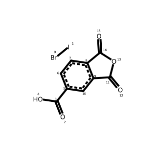 BrI.O=C(O)c1ccc2c(c1)C(=O)OC2=O